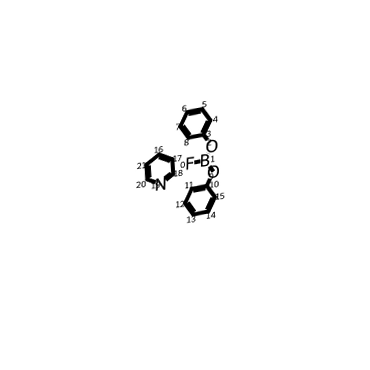 FB(Oc1ccccc1)Oc1ccccc1.c1ccncc1